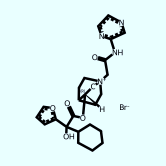 O=C(C[N+]12CCC(CC1)[C@@H](OC(=O)C(O)(c1ccco1)C1CCCCC1)C2)Nc1cnccn1.[Br-]